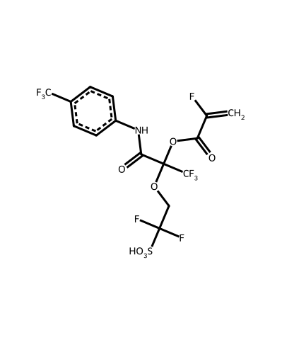 C=C(F)C(=O)OC(OCC(F)(F)S(=O)(=O)O)(C(=O)Nc1ccc(C(F)(F)F)cc1)C(F)(F)F